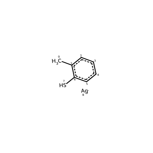 Cc1ccccc1S.[Ag]